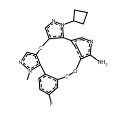 Cn1ncc2c1-c1ccc(F)cc1COc1cc(cnc1N)-c1c(cnn1C1CCC1)C2